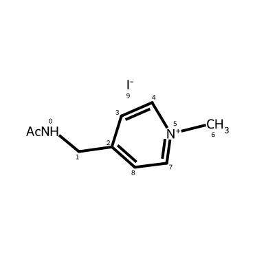 CC(=O)NCc1cc[n+](C)cc1.[I-]